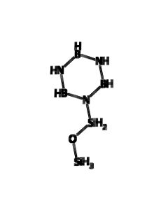 [SiH3]O[SiH2]N1BNBNB1